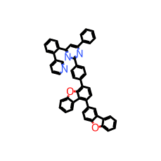 c1ccc(-c2cc(-c3ccccc3-c3cccnc3)nc(-c3ccc(-c4ccc(-c5ccc6oc7ccccc7c6c5)c5c4oc4ccccc45)cc3)n2)cc1